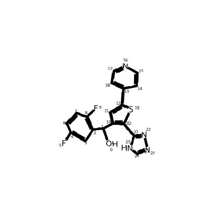 OC(c1cc(F)ccc1F)c1cc(-c2ccncc2)sc1-c1nnc[nH]1